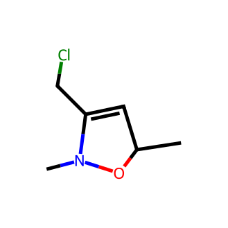 CC1C=C(CCl)N(C)O1